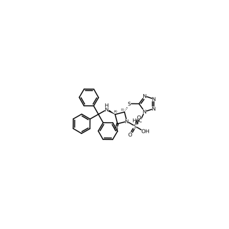 Cn1nnnc1S[C@H]1[C@H](NC(c2ccccc2)(c2ccccc2)c2ccccc2)C(=O)N1S(=O)(=O)O